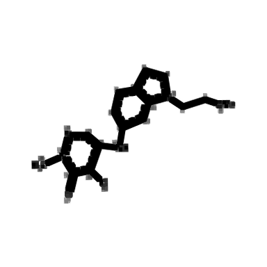 COCCn1ccc2ccc(Nc3cnn(C)c(=O)c3Cl)cc21